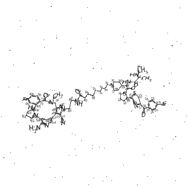 CN[C@H](C)C(=O)N[C@@H](C(=O)N1CCC[C@@H]1C1=NC(C(=O)c2ccc(F)cc2)CS1)C1CCN(CCCCCCCCC(=O)NCCn2nc3c(c2C#N)-c2cnc(N)c(c2)N2CCC[C@@H]2c2cc(F)ccc2C(=O)N(C)C3)CC1